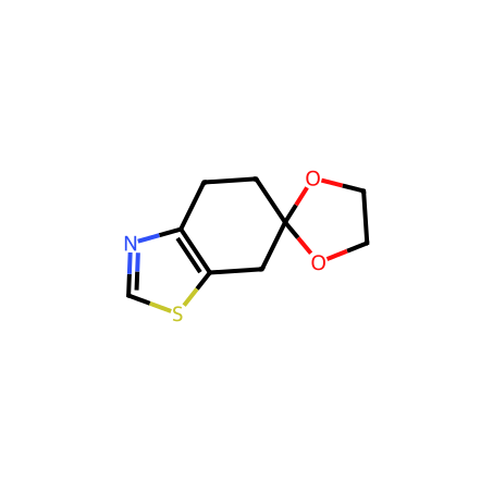 c1nc2c(s1)CC1(CC2)OCCO1